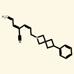 C=C/C=C(C#N)\C=C/CN1CC2(CC(c3ccccc3)C2)C1